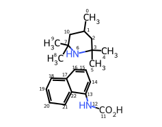 CC1CC(C)(C)NC(C)(C)C1.O=C(O)Nc1cccc2ccccc12